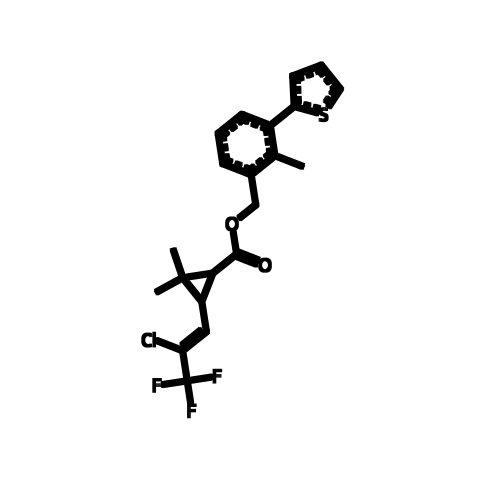 Cc1c(COC(=O)C2C(/C=C(\Cl)C(F)(F)F)C2(C)C)cccc1-c1cccs1